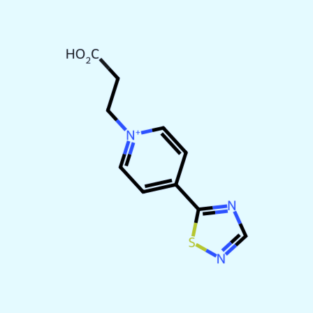 O=C(O)CC[n+]1ccc(-c2ncns2)cc1